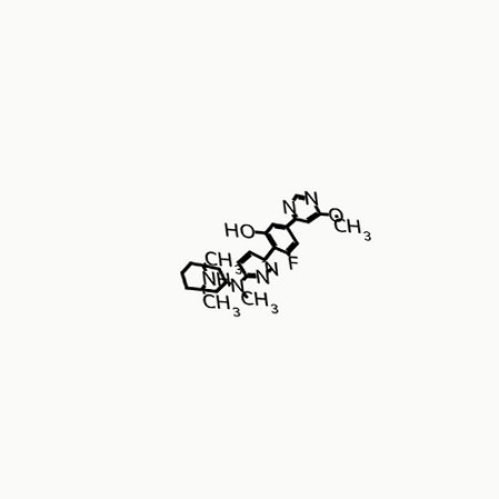 COc1cc(-c2cc(O)c(-c3ccc(N(C)[C@@H]4C[C@]5(C)CCC[C@](C)(C4)N5)nn3)c(F)c2)ncn1